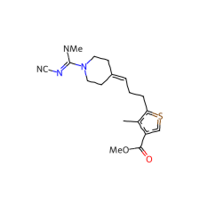 CNC(=NC#N)N1CCC(=CCCc2scc(C(=O)OC)c2C)CC1